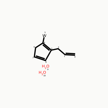 C=CCC1=[C]([W])CC=C1.O.O